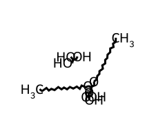 CCCCCCCCCCCCCCCCOCC(COP(=O)(O)O)OCCCCCCCCCCCCCCCC.OCC(O)CO